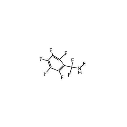 FNC(F)(F)c1c(F)c(F)c(F)c(F)c1F